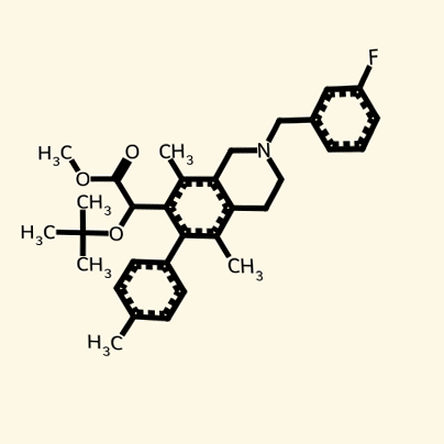 COC(=O)C(OC(C)(C)C)c1c(C)c2c(c(C)c1-c1ccc(C)cc1)CCN(Cc1cccc(F)c1)C2